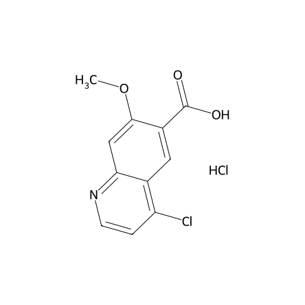 COc1cc2nccc(Cl)c2cc1C(=O)O.Cl